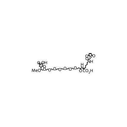 COC(COCCOCCOCCOCCOCCOCCOCCC(=O)N[C@@H](CCCCNC(=O)CN1C(=O)C=CC1=O)C(=O)O)C1CC(=O)N(O)C1=O